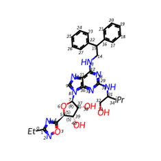 CCc1noc([C@H]2O[C@@H](n3cnc4c(NCC(c5ccccc5)c5ccccc5)nc(NC(CO)C(C)C)nc43)[C@H](O)[C@@H]2O)n1